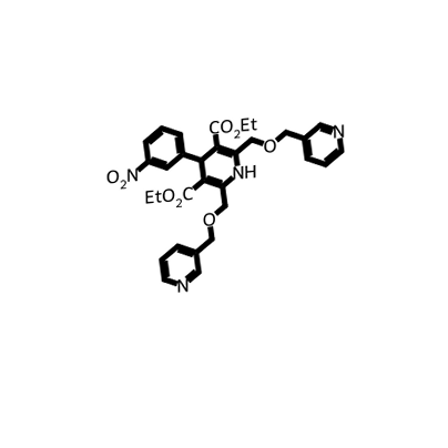 CCOC(=O)C1=C(COCc2cccnc2)NC(COCc2cccnc2)=C(C(=O)OCC)C1c1cccc([N+](=O)[O-])c1